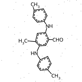 Cc1ccc(Nc2cc(C=O)c(Nc3ccc(C)cc3)cc2C)cc1